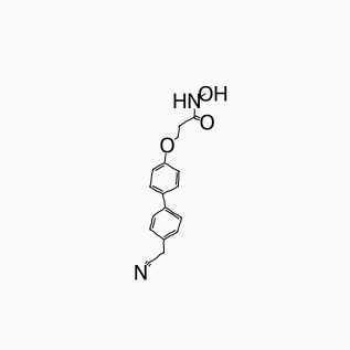 N#CCc1ccc(-c2ccc(OCCC(=O)NO)cc2)cc1